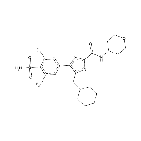 NS(=O)(=O)c1c(Cl)cc(-c2sc(C(=O)NC3CCOCC3)nc2CC2CCCCC2)cc1C(F)(F)F